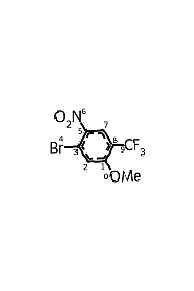 COc1cc(Br)c([N+](=O)[O-])cc1C(F)(F)F